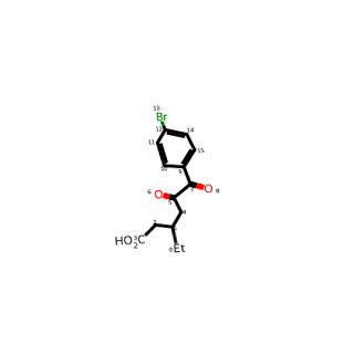 CCC(CC(=O)O)CC(=O)C(=O)c1ccc(Br)cc1